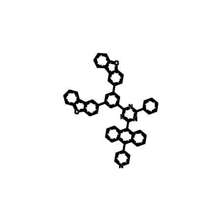 c1ccc(-c2nc(-c3cc(-c4ccc5oc6ccccc6c5c4)cc(-c4ccc5oc6ccccc6c5c4)c3)nc(-c3c4ccccc4c(-c4ccncc4)c4ccccc34)n2)cc1